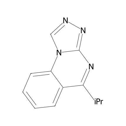 CC(C)c1nc2nncn2c2ccccc12